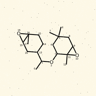 CC(OC1CC(C)(C)CC2OC12C)C1CCC2(C)OC2C1